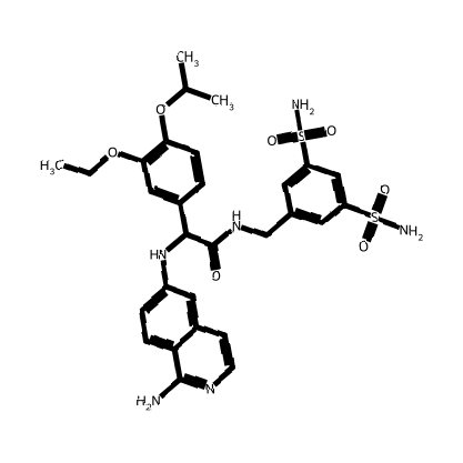 CCOc1cc(C(Nc2ccc3c(N)nccc3c2)C(=O)NCc2cc(S(N)(=O)=O)cc(S(N)(=O)=O)c2)ccc1OC(C)C